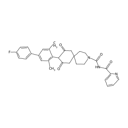 Cc1cc(-c2ccc(F)cc2)cc(C)c1C1C(=O)CC2(CCN(C(=O)NC(=O)c3ccccn3)CC2)CC1=O